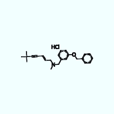 CN(CC=CC#CC(C)(C)C)Cc1cccc(OCc2ccccc2)c1.Cl